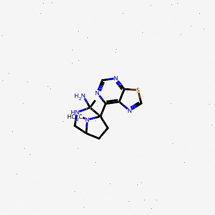 CC1(N)NCC2CCC1(c1ncnc3scnc13)N2C(=O)O